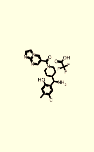 Cc1cc(O)c(C(N)C2CCN(C(=O)c3cnc4nccn4c3)CC2)cc1Cl.O=C(O)C(F)(F)F